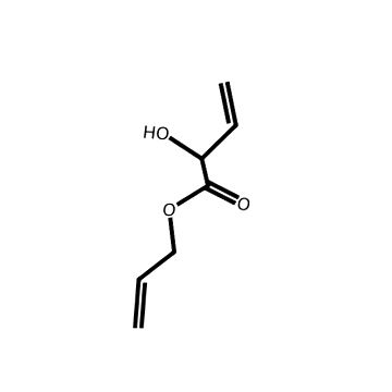 C=CCOC(=O)C(O)C=C